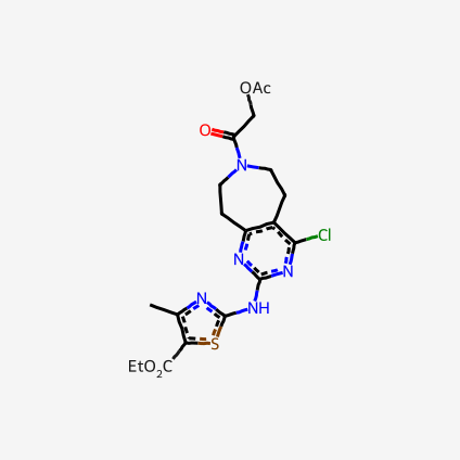 CCOC(=O)c1sc(Nc2nc(Cl)c3c(n2)CCN(C(=O)COC(C)=O)CC3)nc1C